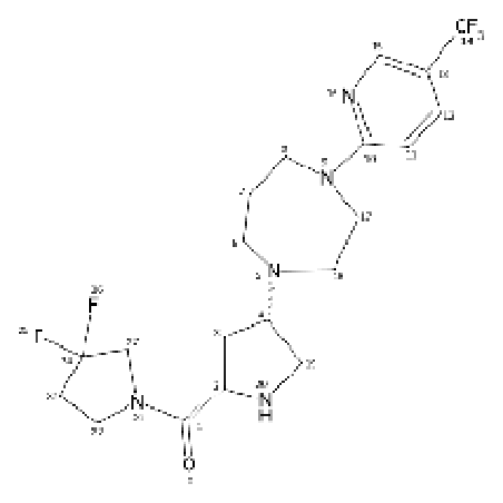 O=C([C@@H]1C[C@H](N2CCCN(c3ccc(C(F)(F)F)cn3)CC2)CN1)N1CCC(F)(F)C1